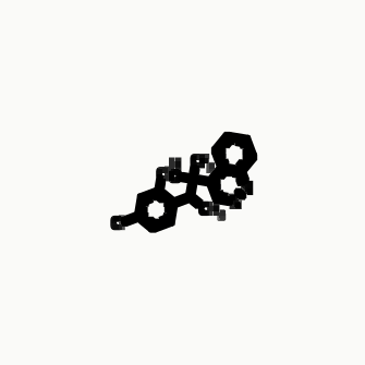 CC(c1ccc(Cl)cc1Cl)C(O)(c1cnnc2ccccc12)C(F)(F)F